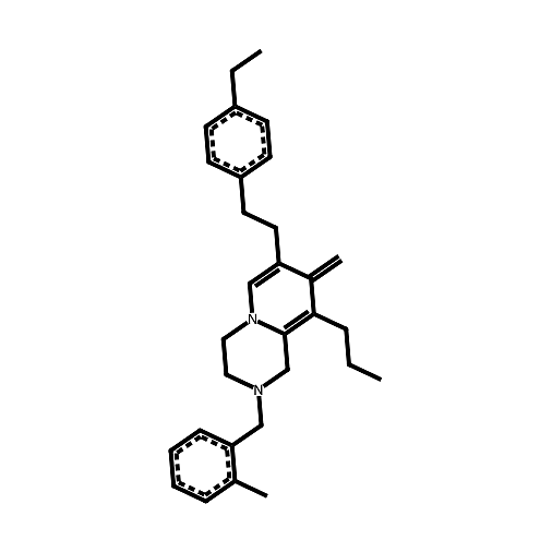 C=C1C(CCc2ccc(CC)cc2)=CN2CCN(Cc3ccccc3C)CC2=C1CCC